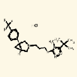 Cl.Cn1c(SCCCN2C[C@@H]3C[C@]3(c3ccc(C(F)(F)F)cc3)C2)nnc1C(C)(C)C